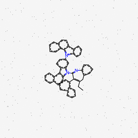 CCC1=C(c2cccc3ccccc23)C(n2c3cc(-n4c5ccccc5c5ccc6ccccc6c54)ccc3c3c4ccccc4ccc32)=Nc2ccccc2C1